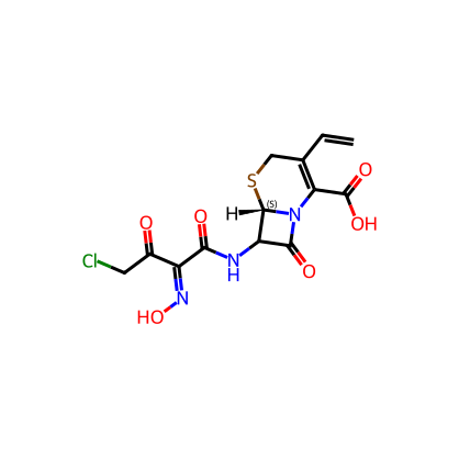 C=CC1=C(C(=O)O)N2C(=O)C(NC(=O)C(=NO)C(=O)CCl)[C@@H]2SC1